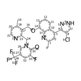 Cc1cc(-c2n[nH]cc2Cl)c2cccc(OCc3c(C)ccnc3Cn3cc(C(F)(F)F)cc(F)c3=O)c2n1